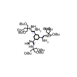 CCOCC(COCC(C)C)(COCC(C)C)N(N)/C=C(\N)c1cc(/C(N)=C/NC(COCC(C)C)(COCC(C)C)COCC(C)C)cc(/C(=C/NC(COCC(C)C)(COCC(C)C)COCC(C)C)N=N)c1